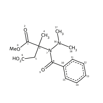 COC(=O)C(C)(CC(=O)O)N(C(=O)c1ccccc1)N(C)C